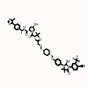 Cc1ncoc1-c1ccc([C@H](C)NC(=O)[C@@H]2C[C@@H](O)CN2C(=O)[C@@H](CC(=O)COC[C@H]2CC[C@@H](COc3ccc(N4C(S)N(c5ccc(C#N)c(C(F)(F)F)c5)C(=O)C4(C)C)cc3)CC2)C(C)(C)C)cc1